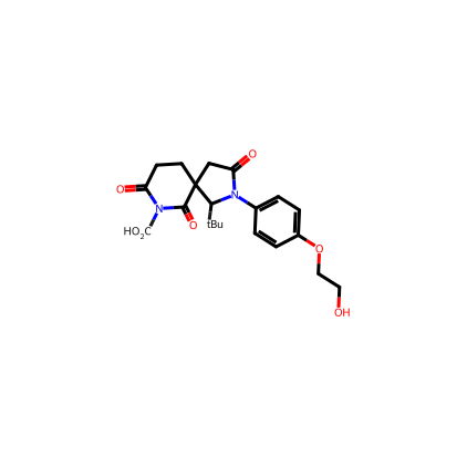 CC(C)(C)C1N(c2ccc(OCCO)cc2)C(=O)CC12CCC(=O)N(C(=O)O)C2=O